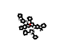 CC1(C)c2ccccc2-c2cc3c4cc(-c5ccccc5N(c5ccc6sc7ccccc7c6c5)c5cccc6cc7ccccc7cc56)ccc4n(-c4cc(-c5ccccc5)nc(-c5ccccc5)n4)c3cc21